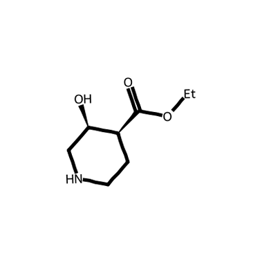 CCOC(=O)[C@H]1CCNC[C@H]1O